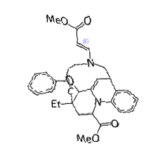 CCC12CCCN(/C=C/C(=O)OC)CC3C=C(C1Oc1ccccc1)N(c1ccccc13)C(C(=O)OC)C2